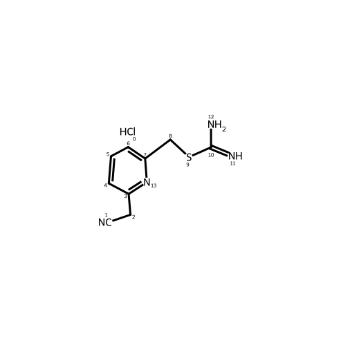 Cl.N#CCc1cccc(CSC(=N)N)n1